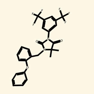 CC1(C)C(=O)N(c2cc(C(F)(F)F)cc(C(F)(F)F)c2)C(=O)N1Cc1ccccc1Oc1ccccc1